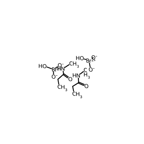 CCC(=O)NC.CCC(=O)NC.[O-][Br+2]([O-])O.[O-][Br+2]([O-])O